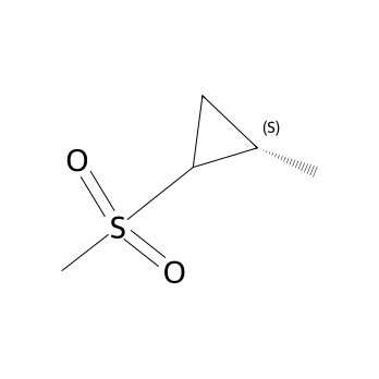 C[C@H]1CC1S(C)(=O)=O